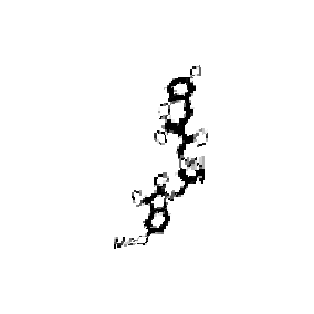 COc1ccc2c(c1)C(=O)C(=O)N2Cc1cn(CC(=O)c2cc3cc(Cl)ccc3oc2=O)nn1